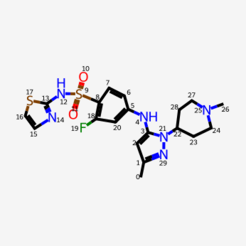 Cc1cc(Nc2ccc(S(=O)(=O)Nc3nccs3)c(F)c2)n(C2CCN(C)CC2)n1